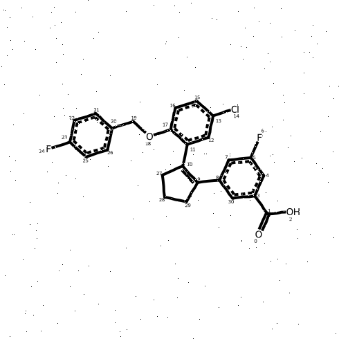 O=C(O)c1cc(F)cc(C2=C(c3cc(Cl)ccc3OCc3ccc(F)cc3)CCC2)c1